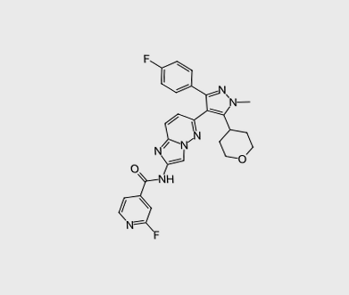 Cn1nc(-c2ccc(F)cc2)c(-c2ccc3nc(NC(=O)c4ccnc(F)c4)cn3n2)c1C1CCOCC1